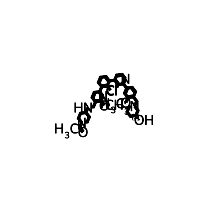 COc1cc(-c2nccc(-c3cccc(-c4ccc(CNC5CCN(C(C)=O)CC5)c(OC)n4)c3Cl)c2Cl)ccc1CN1CCC[C@H](O)C1